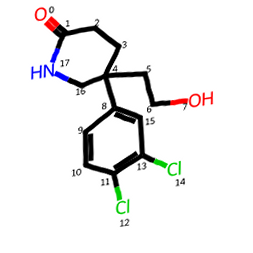 O=C1CCC(CCO)(c2ccc(Cl)c(Cl)c2)CN1